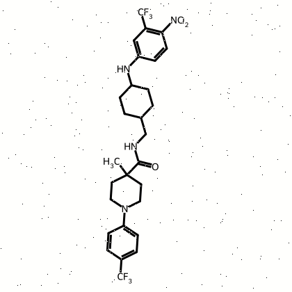 CC1(C(=O)NCC2CCC(Nc3ccc([N+](=O)[O-])c(C(F)(F)F)c3)CC2)CCN(c2ccc(C(F)(F)F)cc2)CC1